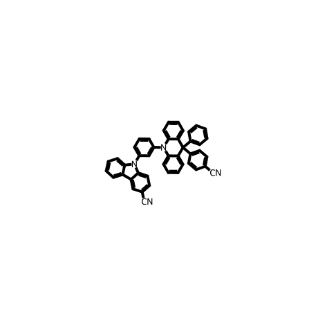 N#Cc1ccc(C2(c3ccccc3)c3ccccc3N(c3cccc(-n4c5ccccc5c5cc(C#N)ccc54)c3)c3ccccc32)cc1